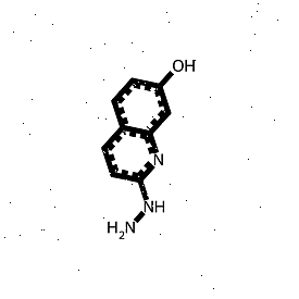 NNc1ccc2ccc(O)cc2n1